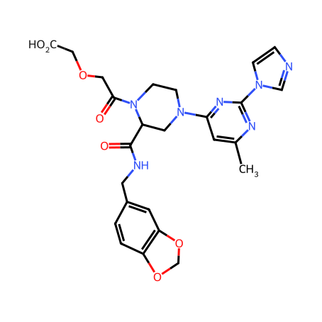 Cc1cc(N2CCN(C(=O)COCC(=O)O)C(C(=O)NCc3ccc4c(c3)OCO4)C2)nc(-n2ccnc2)n1